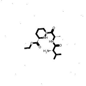 CCOC(=O)[C@@H]1CCCN(C(=O)[C@H](C)NC(=O)[C@@H](N)C(C)C)N1